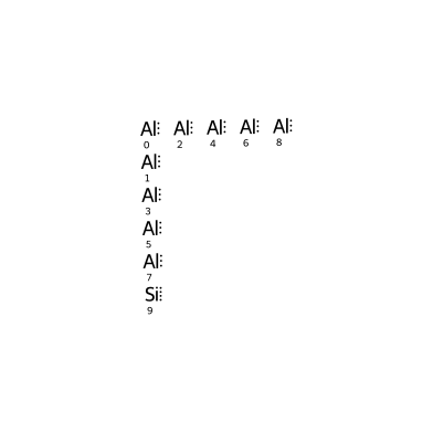 [Al].[Al].[Al].[Al].[Al].[Al].[Al].[Al].[Al].[Si]